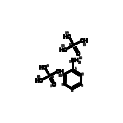 Nc1ccccc1.O=P(O)(O)O.O=P(O)(O)O